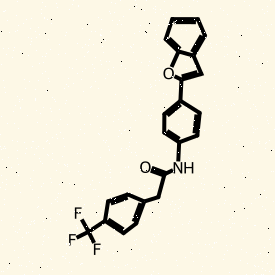 O=C(Cc1ccc(C(F)(F)F)cc1)Nc1ccc(-c2cc3ccccc3o2)cc1